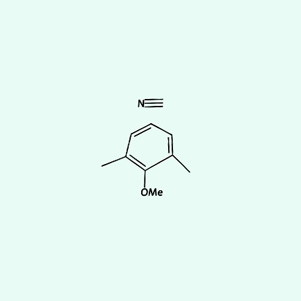 C#N.COc1c(C)cccc1C